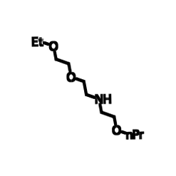 CCCOCCNCCOCCOCC